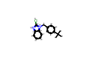 CC(C)(C)c1ccc(Cn2c(Cl)nc3ccccc32)cc1